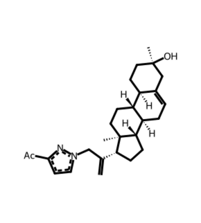 C=C(Cn1ccc(C(C)=O)n1)[C@H]1CC[C@H]2[C@@H]3CC=C4C[C@](C)(O)CC[C@@H]4[C@H]3CC[C@]12C